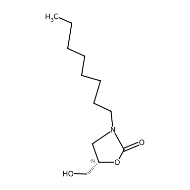 CCCCCCCCN1C[C@@H](CO)OC1=O